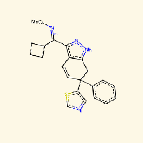 CO/N=C(/c1n[nH]c2c1C=CC(c1ccccc1)(c1cncs1)C2)C1CCC1